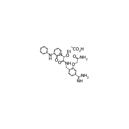 CC(=O)O.CCOC(C(=O)NCc1ccc(C(=N)N)cc1OCC(N)=O)n1cccc(Nc2ccccc2)c1=O